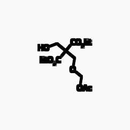 CCOC(=O)C(CO)(COCOC(C)=O)C(=O)OCC